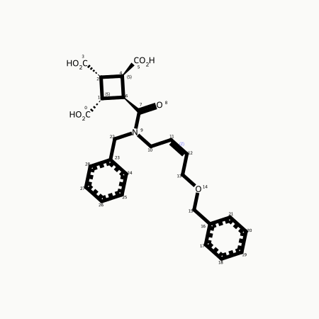 O=C(O)[C@@H]1[C@H](C(=O)O)[C@@H](C(=O)O)[C@H]1C(=O)N(C/C=C\COCc1ccccc1)Cc1ccccc1